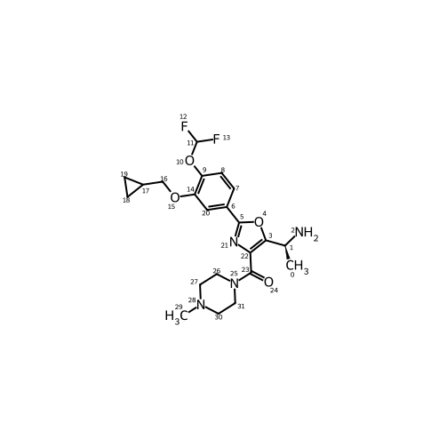 C[C@H](N)c1oc(-c2ccc(OC(F)F)c(OCC3CC3)c2)nc1C(=O)N1CCN(C)CC1